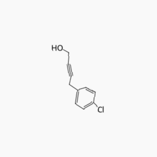 OCC#CCc1ccc(Cl)cc1